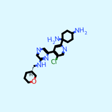 NC1CCC(N)(c2cc(-c3cncc(NC[C@H]4CCCOC4)n3)c(Cl)cn2)CC1